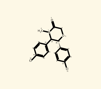 CN1C(=O)CO[C@H](c2ccc(Cl)cc2)C1c1ccc(Cl)cc1